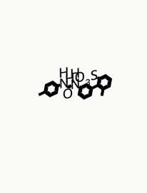 Cc1ccc(NC(=O)Nc2cccc(-c3c(C)cccc3S(=O)(=O)O)c2)cc1